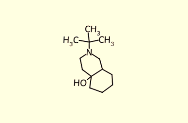 CC(C)(C)N1CCC2(O)CCCCC2C1